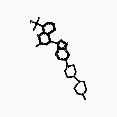 Cc1cc(-c2cnn3cc(N4CCC(N5CCN(C)CC5)CC4)cnc23)c2cccc(C(F)(F)F)c2n1